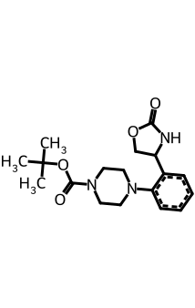 CC(C)(C)OC(=O)N1CCN(c2ccccc2C2COC(=O)N2)CC1